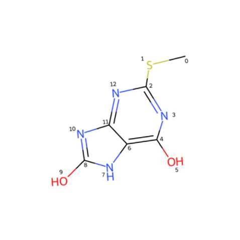 CSc1nc(O)c2[nH]c(O)nc2n1